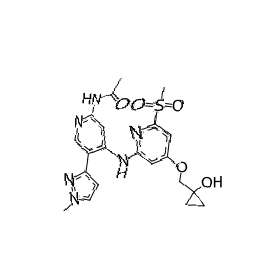 CC(=O)Nc1cc(Nc2cc(OCC3(O)CC3)cc(S(C)(=O)=O)n2)c(-c2ccn(C)n2)cn1